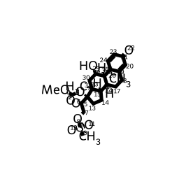 COC(=O)O[C@]1(C(=O)COS(C)(=O)=O)CC[C@H]2[C@@H]3CCC4=CC(=O)C=C[C@]4(C)[C@H]3C(O)C[C@@]21C